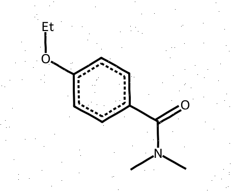 CCOc1ccc(C(=O)N(C)C)cc1